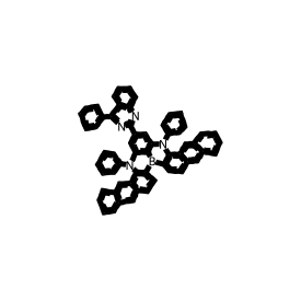 c1ccc(-c2nc(-c3cc4c5c(c3)N(c3ccccc3)c3c(ccc6cc7ccccc7cc36)B5c3ccc5cc6ccccc6cc5c3N4c3ccccc3)nc3ccccc23)cc1